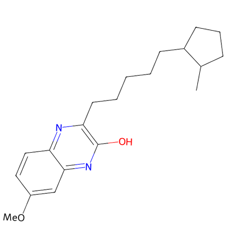 COc1ccc2nc(CCCCCC3CCCC3C)c(O)nc2c1